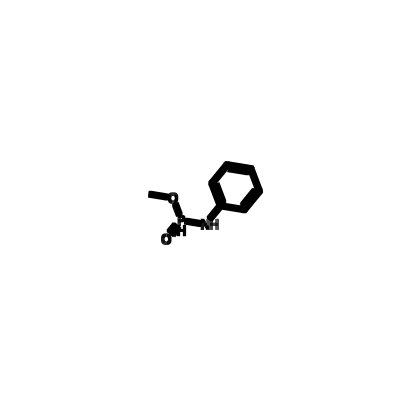 CO[PH](=O)Nc1ccccc1